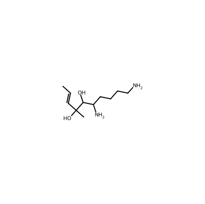 CC=CC(C)(O)C(O)C(N)CCCCN